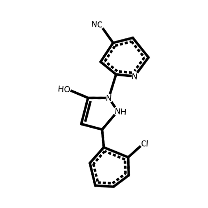 N#Cc1ccnc(N2NC(c3ccccc3Cl)C=C2O)c1